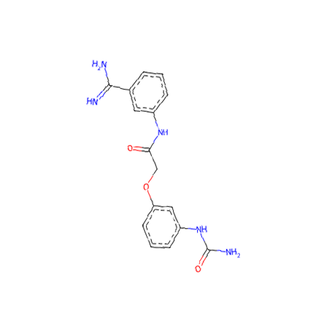 N=C(N)c1cccc(NC(=O)COc2cccc(NC(N)=O)c2)c1